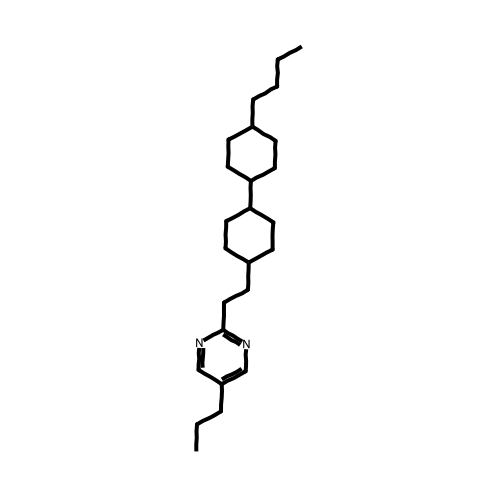 CCCCC1CCC(C2CCC(CCc3ncc(CCC)cn3)CC2)CC1